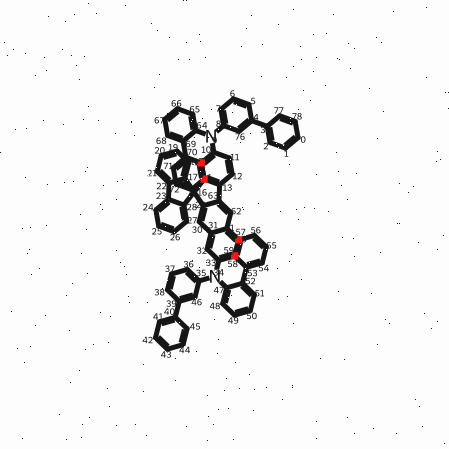 c1ccc(-c2cccc(N(c3ccc4c(c3)C3(c5ccccc5-c5ccccc53)c3cc5cc(N(c6cccc(-c7ccccc7)c6)c6ccccc6-c6ccccc6)ccc5cc3-4)c3ccccc3-c3ccccc3)c2)cc1